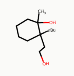 CCCCC1(CCO)CCCCC1(C)O